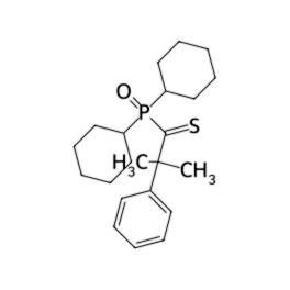 CC(C)(C(=S)P(=O)(C1CCCCC1)C1CCCCC1)c1ccccc1